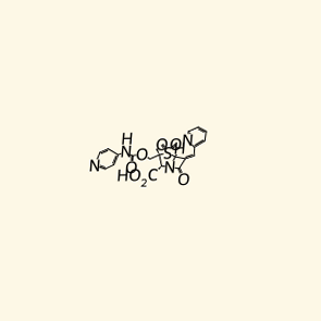 C[C@]1(COC(=O)Nc2ccncc2)[C@H](C(=O)O)N2C(=O)/C(=C/c3ccccn3)[C@H]2S1(=O)=O